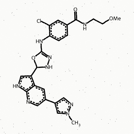 COCCNC(=O)c1ccc(NC2=NNC(c3c[nH]c4ncc(-c5cnn(C)c5)cc34)O2)c(Cl)c1